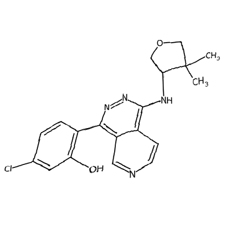 CC1(C)COCC1Nc1nnc(-c2ccc(Cl)cc2O)c2cnccc12